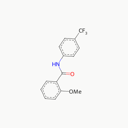 COc1ccccc1C(=O)Nc1ccc(C(F)(F)F)cc1